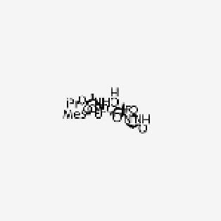 CSCOP(=O)(NC(C)C(=O)OC(C)C)OC[C@H]1O[C@@H](n2ccc(=O)[nH]c2=O)C(C)(F)C1O